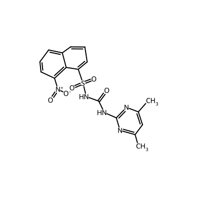 Cc1cc(C)nc(NC(=O)NS(=O)(=O)c2cccc3cccc([N+](=O)[O-])c23)n1